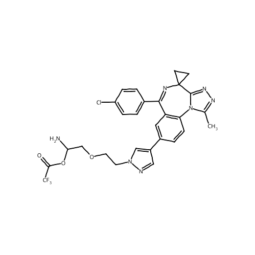 Cc1nnc2n1-c1ccc(-c3cnn(CCOCC(N)OC(=O)C(F)(F)F)c3)cc1C(c1ccc(Cl)cc1)=NC21CC1